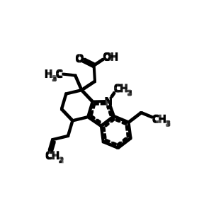 C=CCC1CCC(CC)(CC(=O)O)c2c1c1cccc(CC)c1n2C